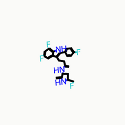 C=C(CCc1c(-c2ccc(F)cc2)[nH]c2c(F)cc(F)cc12)NC1CC(CF)NC1=C